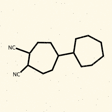 N#CC1CCC(C2CCCCCC2)CCC1C#N